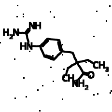 CCC(CC)(Cc1ccc(NC(=N)N)cc1)C(N)=O